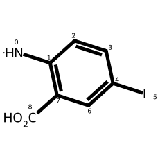 [NH]c1ccc(I)cc1C(=O)O